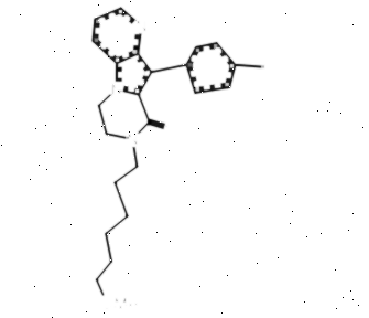 COCCCCCCN1CCn2c(c(-c3ccc(Cl)cc3)c3ncccc32)C1=O